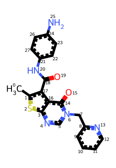 Cc1sc2ncn(Cc3ccccn3)c(=O)c2c1C(=O)Nc1ccc(N)cc1